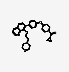 O=C(C1CC1)N1CCC(Oc2ccc(-c3ccc4cccnc4c3OCCN3CCOCC3)cc2)CC1